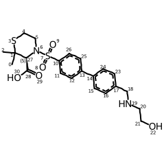 CC1(C)SCCN(S(=O)(=O)c2ccc(-c3ccc(CNCCO)cc3)cc2)[C@H]1C(=O)O